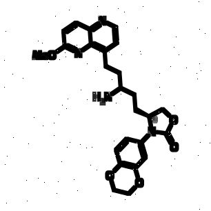 COc1ccc2nccc(CCC(N)CC[C@H]3COC(=O)N3c3ccc4c(c3)OCCO4)c2n1